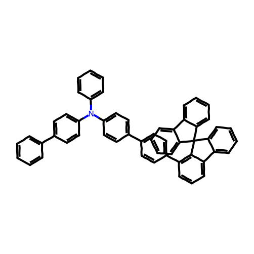 c1ccc(-c2ccc(N(c3ccccc3)c3ccc(-c4ccc(-c5cccc6c5C5(c7ccccc7-c7ccccc75)c5ccccc5-6)cc4)cc3)cc2)cc1